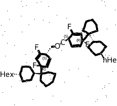 CCCCCC[C@H]1CC[C@H](C2([C@@]3(F)C=C[C@@H](COC[C@@H]4C=C[C@](F)(C5([C@H]6CC[C@H](CCCCCC)CC6)CCCCC5)C=C4F)C(F)=C3)CCCCC2)CC1